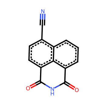 N#Cc1ccc2c3c(cccc13)C(=O)NC2=O